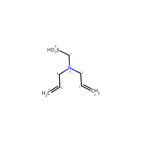 C=CCN(CC=C)CS(=O)(=O)O